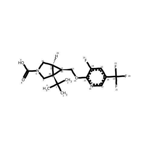 CC(C)(C)[C@@]12CN(C(=O)O)C[C@H]1[C@H]2COc1ncc(C(F)(F)F)cc1F